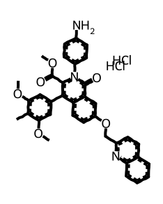 COC(=O)c1c(-c2cc(OC)c(C)c(OC)c2)c2ccc(OCc3ccc4ccccc4n3)cc2c(=O)n1-c1ccc(N)cc1.Cl.Cl